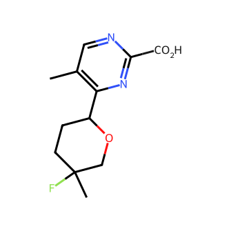 Cc1cnc(C(=O)O)nc1C1CCC(C)(F)CO1